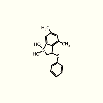 Cc1cc(C)c2c(c1)S(O)(O)CC2Sc1ccccc1